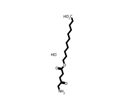 Cl.NCC(=O)CCC(=O)OCCCCCCCCCCC(=O)O